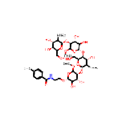 CC(=O)NC1[C@@H](O[C@@H]2C(OC=O)O[C@@H](O[C@@H]3C(CO)O[C@H](O[C@@H]4C(OC=O)O[C@@H](OCCNC(=O)c5ccc(C=O)cc5)C(O)[C@H]4O)C(NC(C)=O)[C@H]3O)C(O)[C@H]2O)OC(CO)[C@@H](O)[C@@H]1O